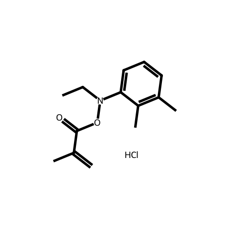 C=C(C)C(=O)ON(CC)c1cccc(C)c1C.Cl